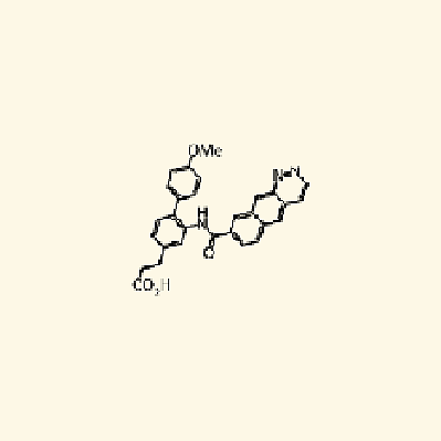 COc1ccc(-c2ccc(CCC(=O)O)cc2NC(=O)c2ccc3cc4ccnnc4cc3c2)cc1